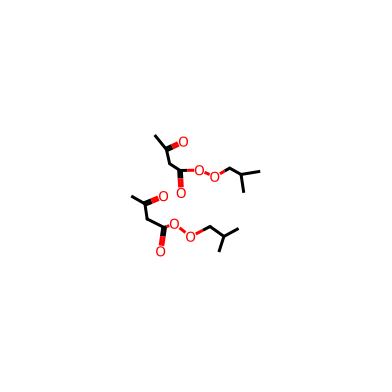 CC(=O)CC(=O)OOCC(C)C.CC(=O)CC(=O)OOCC(C)C